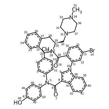 Cc1ccc(N(C(=O)c2cn(-c3cc(Br)ccc3C(=O)N3Cc4ccccc4C[C@H]3CN3CCN(C)CC3)c3ccccc23)c2ccc(O)cc2)cc1